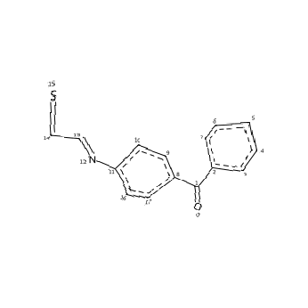 O=C(c1ccccc1)c1ccc(N=CC=S)cc1